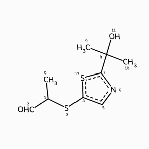 CC(C=O)Sc1cnc(C(C)(C)O)s1